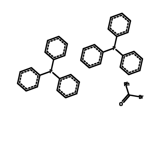 O=[C](Br)[Rh].c1ccc(P(c2ccccc2)c2ccccc2)cc1.c1ccc(P(c2ccccc2)c2ccccc2)cc1